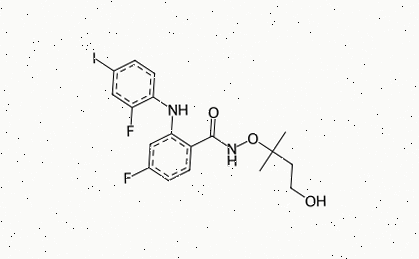 CC(C)(CCO)ONC(=O)c1ccc(F)cc1Nc1ccc(I)cc1F